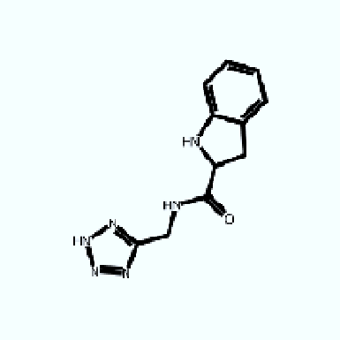 O=C(NCc1nn[nH]n1)C1Cc2ccccc2N1